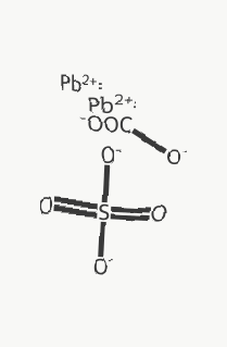 O=C([O-])[O-].O=S(=O)([O-])[O-].[Pb+2].[Pb+2]